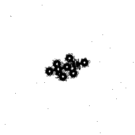 c1ccc(-c2nc(-c3ccccc3)nc(-c3ccccc3-c3cccc(-c4c5ccccc5c(-c5ccccc5)c5sc6ccccc6c45)c3)n2)cc1